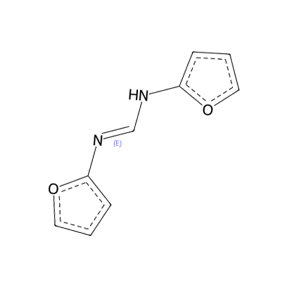 C(=N\c1ccco1)/Nc1ccco1